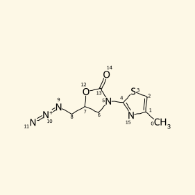 Cc1csc(N2CC(CN=[N+]=[N-])OC2=O)n1